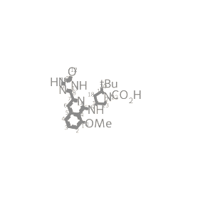 COc1cccc2cc(-c3n[nH]c(=O)[nH]3)nc(NC3CC(C(C)(C)C)N(C(=O)O)C3)c12